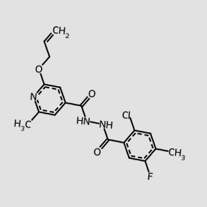 C=CCOc1cc(C(=O)NNC(=O)c2cc(F)c(C)cc2Cl)cc(C)n1